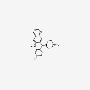 CCN1CCN(C(c2ccc(F)cc2)c2cc3ncccc3cc2OC)CC1